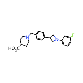 O=C(O)C1CCN(Cc2ccc(C3CN(c4cccc(F)c4)C3)cc2)CC1